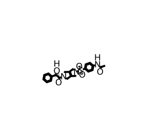 CC(=O)Nc1ccc(S(=O)(=O)N2CC3=C(CN(C(=O)[C@H](O)c4ccccc4)C3)C2)cc1